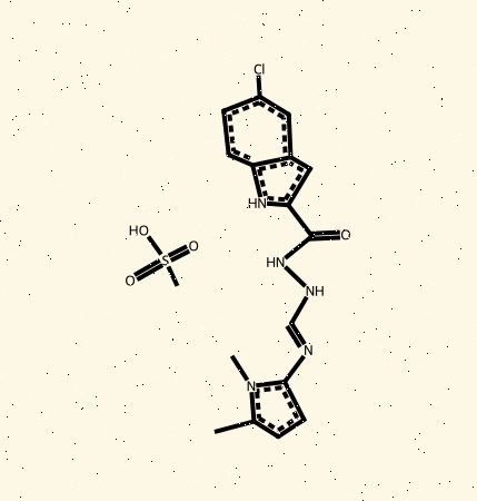 CS(=O)(=O)O.Cc1ccc(N=CNNC(=O)c2cc3cc(Cl)ccc3[nH]2)n1C